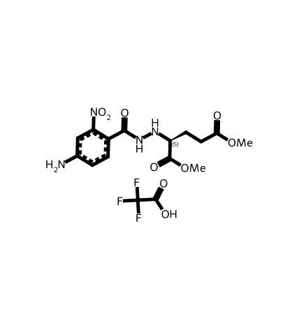 COC(=O)CC[C@H](NNC(=O)c1ccc(N)cc1[N+](=O)[O-])C(=O)OC.O=C(O)C(F)(F)F